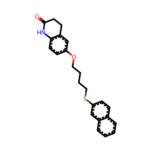 O=C1CCc2cc(OCCCCSc3ccc4ccccc4c3)ccc2N1